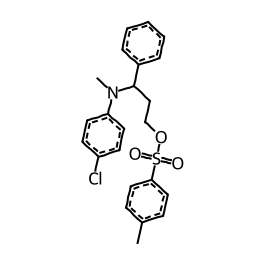 Cc1ccc(S(=O)(=O)OCCC(c2ccccc2)N(C)c2ccc(Cl)cc2)cc1